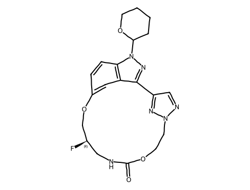 O=C1NC[C@@H](F)COc2ccc3c(c2)c(nn3C2CCCCO2)-c2cnn(n2)CCO1